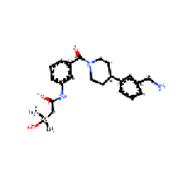 C[Si](C)(O)CC(=O)Nc1cccc(C(=O)N2CCC(c3cccc(CN)c3)CC2)c1